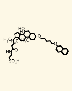 C[C@H](CCC(=O)NCCS(=O)(=O)O)[C@H]1CC[C@H]2C3C(CC[C@]12C)[C@@]1(C)CC[C@@H](OCCCCCOc2ccc4ccccc4c2)CC1C[C@@H]3O